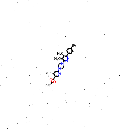 CCCC1OC(c2cnc(N3CCN(c4nnc(-c5ccc(C(C)C)cc5)c(C)c4C)CC3)cc2C(F)(F)F)O1